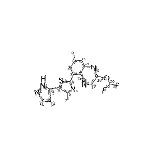 Cc1cc(-c2nc(C)c(-c3ccn[nH]3)s2)c2ncc(OC(F)F)nc2c1